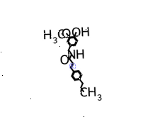 CCCc1ccc(/C=C/C(=O)NCc2ccc(O)c(OC)c2)cc1